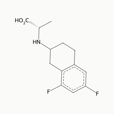 C[C@H](NC1CCc2cc(F)cc(F)c2C1)C(=O)O